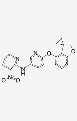 O=[N+]([O-])c1cccnc1Nc1ccc(Oc2cccc3c2C2(CC2)CO3)nc1